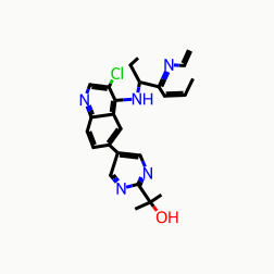 C=C/N=C(\C=C/C)C(CC)Nc1c(Cl)cnc2ccc(-c3cnc(C(C)(C)O)nc3)cc12